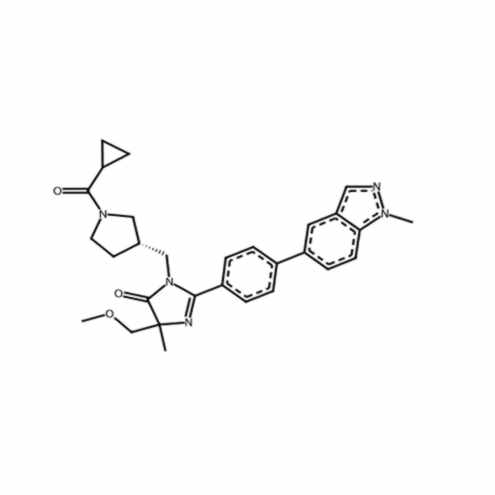 COCC1(C)N=C(c2ccc(-c3ccc4c(cnn4C)c3)cc2)N(C[C@@H]2CCN(C(=O)C3CC3)C2)C1=O